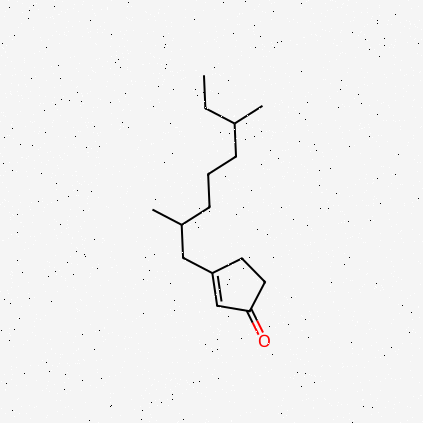 CCC(C)CCCC(C)CC1=CC(=O)CC1